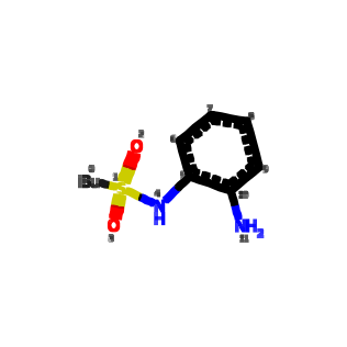 CCC(C)S(=O)(=O)Nc1ccccc1N